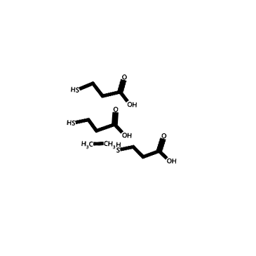 CC.O=C(O)CCS.O=C(O)CCS.O=C(O)CCS